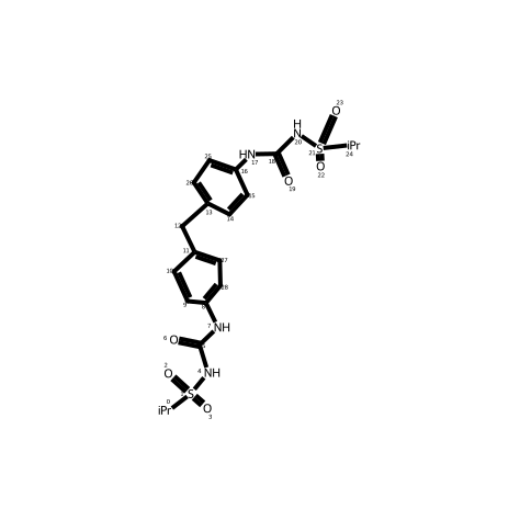 CC(C)S(=O)(=O)NC(=O)Nc1ccc(Cc2ccc(NC(=O)NS(=O)(=O)C(C)C)cc2)cc1